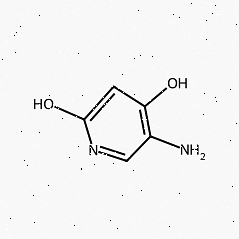 Nc1cnc(O)cc1O